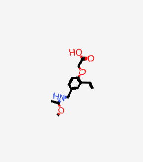 CCc1cc(CNC(C)OC)ccc1OCC(=O)O